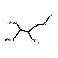 CCCCCCC(CCCCC)C(SSC(C)C)C(Cl)(Cl)Cl